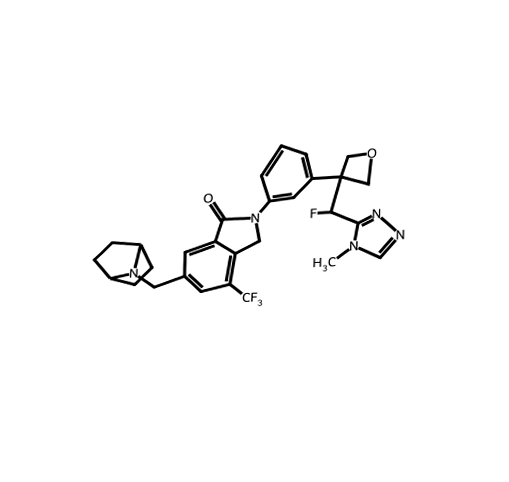 Cn1cnnc1C(F)C1(c2cccc(N3Cc4c(cc(CN5C6CCC5CC6)cc4C(F)(F)F)C3=O)c2)COC1